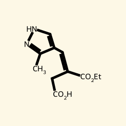 CCOC(=O)/C(=C/c1c[nH]nc1C)CC(=O)O